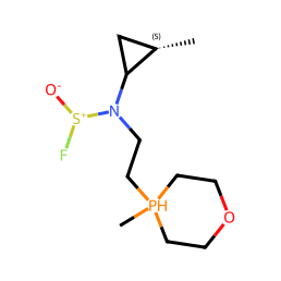 C[C@H]1CC1N(CC[PH]1(C)CCOCC1)[S+]([O-])F